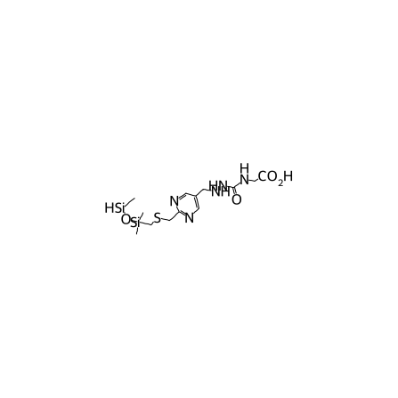 C[SiH](C)O[Si](C)(C)CSCc1ncc(CNNC(=O)NCC(=O)O)cn1